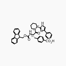 O=C(N[C@@H](Cc1ccc(C(=O)O)cc1)C(=O)N1CCCC[C@H]1c1nc(-c2ccccc2)c[nH]1)OCC1c2ccccc2-c2ccccc21